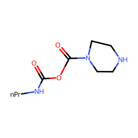 CCCNC(=O)OC(=O)N1CCNCC1